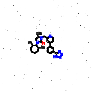 CCCCc1cn(C2C(C(C)=O)CCCCC2C(C)C)c(=O)n1Cc1cc(-c2cccc(-c3nnn[nH]3)c2)ccn1